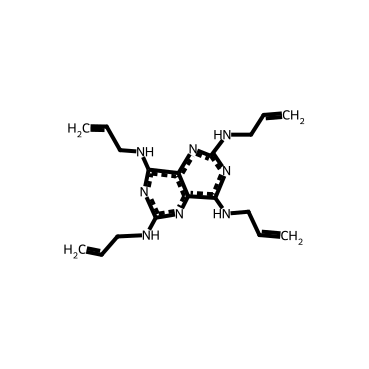 C=CCNc1nc(NCC=C)c2nc(NCC=C)nc(NCC=C)c2n1